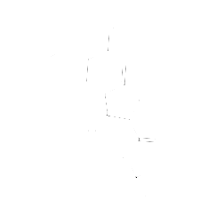 COc1cc2c(cc1OC)C(=O)C(C(=O)OC(C)(C)C)C2